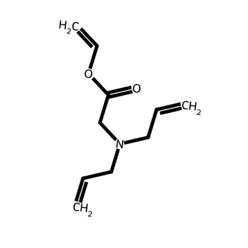 C=CCN(CC=C)CC(=O)OC=C